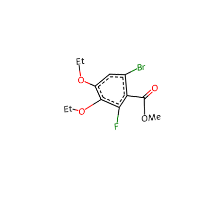 CCOc1cc(Br)c(C(=O)OC)c(F)c1OCC